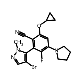 Cn1ncc(Br)c1-c1c(F)c(N2CCCC2)cc(OC2CC2)c1C#N